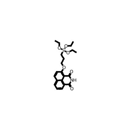 CCO[Si](CCCOc1ccc2cccc3c2c1C(=O)NC3=O)(OCC)OCC